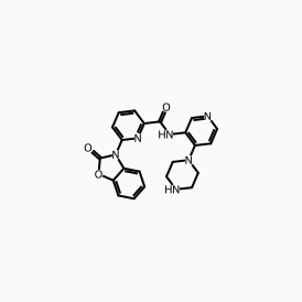 O=C(Nc1cnccc1N1CCNCC1)c1cccc(-n2c(=O)oc3ccccc32)n1